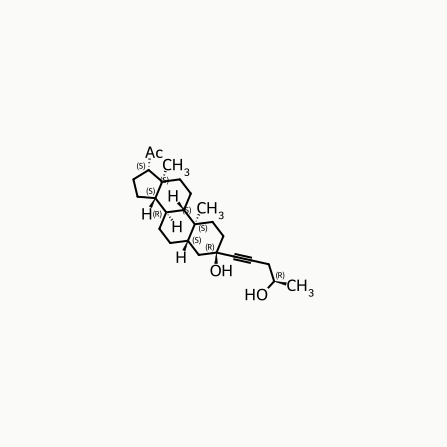 CC(=O)[C@H]1CC[C@H]2[C@@H]3CC[C@H]4C[C@@](O)(C#CC[C@@H](C)O)CC[C@]4(C)[C@H]3CC[C@]12C